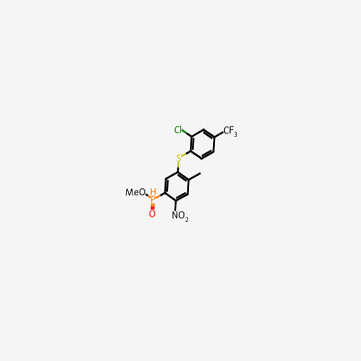 CO[PH](=O)c1cc(Sc2ccc(C(F)(F)F)cc2Cl)c(C)cc1[N+](=O)[O-]